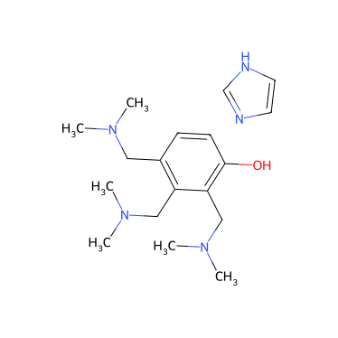 CN(C)Cc1ccc(O)c(CN(C)C)c1CN(C)C.c1c[nH]cn1